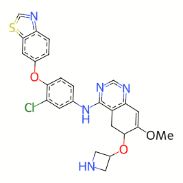 COC1=Cc2ncnc(Nc3ccc(Oc4ccc5ncsc5c4)c(Cl)c3)c2CC1OC1CNC1